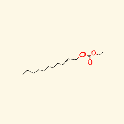 CCCCCCCCCCCOC(=O)OCC